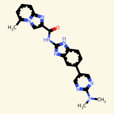 Cc1cccc2nc(C(=O)Nc3nc4cc(-c5cnc(N(C)C)nc5)ccc4[nH]3)cn12